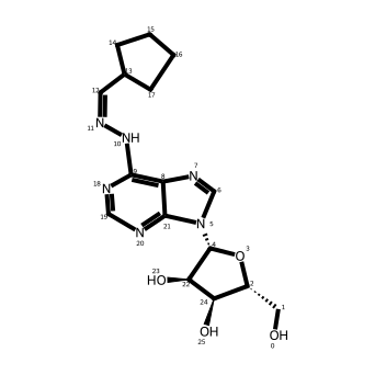 OC[C@H]1O[C@@H](n2cnc3c(N/N=C\C4CCCC4)ncnc32)[C@H](O)[C@@H]1O